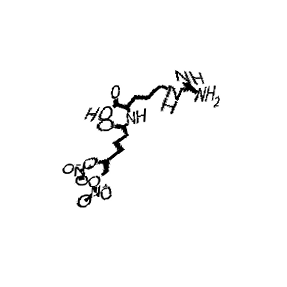 N=C(N)NCCCC(NC(=O)CCCC(CO[N+](=O)[O-])O[N+](=O)[O-])C(=O)O